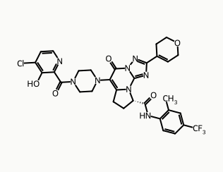 Cc1cc(C(F)(F)F)ccc1NC(=O)[C@@H]1CCc2c(N3CCN(C(=O)c4nccc(Cl)c4O)CC3)c(=O)n3nc(C4=CCOCC4)nc3n21